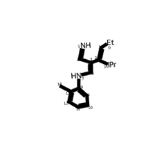 CC/C=C(/C(C=N)=C/Nc1ccccc1C)C(C)C